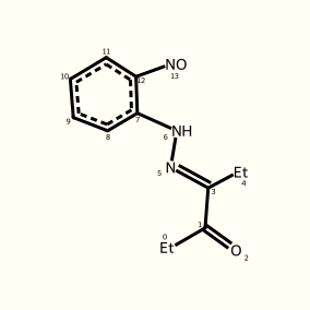 CCC(=O)/C(CC)=N/Nc1ccccc1N=O